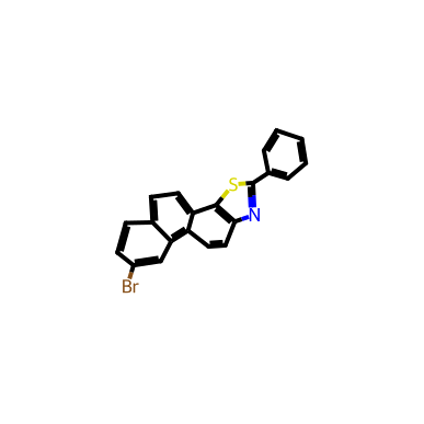 Brc1ccc2ccc3c(ccc4nc(-c5ccccc5)sc43)c2c1